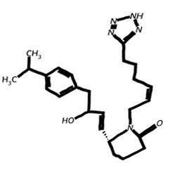 CC(C)c1ccc(CC(O)/C=C/[C@H]2CCCC(=O)N2C/C=C\CCCc2nn[nH]n2)cc1